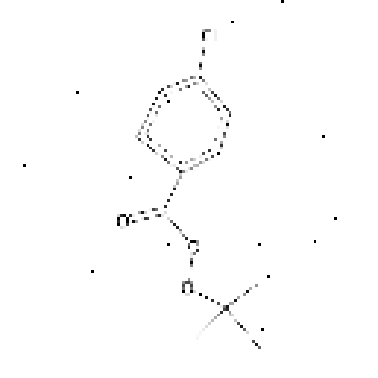 CC(C)(C)OOC(=O)c1ccc(Cl)cc1